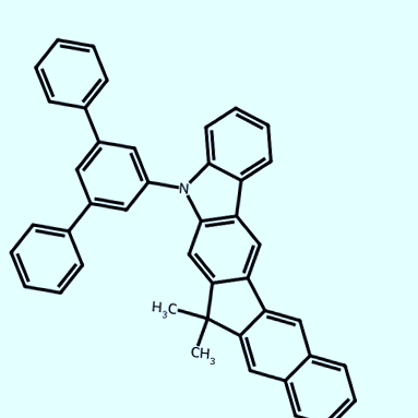 CC1(C)c2cc3ccccc3cc2-c2cc3c4ccccc4n(-c4cc(-c5ccccc5)cc(-c5ccccc5)c4)c3cc21